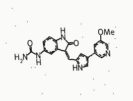 COc1cncc(-c2c[nH]c(C=C3C(=O)Nc4ccc(NC(N)=O)cc43)c2)c1